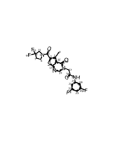 Cc1c(C(=O)N2CCC(F)(F)C2)sc2ncn(CC(=O)Nc3cc(F)cc(F)c3)c(=O)c12